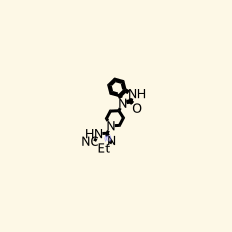 CC/N=C(\NC#N)N1CCC(n2c(=O)[nH]c3ccccc32)CC1